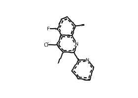 Cc1c(-c2ccccn2)nc2c(C)ccc(F)c2c1Cl